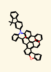 CC1(C)c2ccccc2-c2ccc(N(c3ccc(-c4ccccc4)cc3)c3ccccc3-c3ccc4c5ccccc5c5c(ccc6oc7ccccc7c65)c4c3)cc21